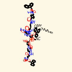 [C-]#[N+]CCOP(=O)(OC[C@H]1O[C@@H](n2ccc(NC(=O)CCCN(C)C(=O)OCC3c4ccccc4-c4ccccc43)nc2=O)CC1O)OC1C[C@H](n2cnc3c(=O)[nH]c(NC(=O)CCNC(=O)c4ccc(CNC(=O)OCC5c6ccccc6-c6ccccc65)cc4)nc32)O[C@@H]1COC(c1ccccc1)(c1ccc(OC)cc1)c1ccc(OC)cc1